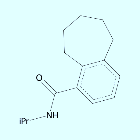 CC(C)NC(=O)c1cccc2c1CCCCC2